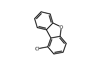 Clc1cccc2oc3ccccc3c12